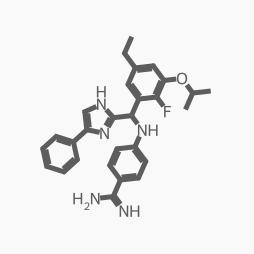 CCc1cc(OC(C)C)c(F)c(C(Nc2ccc(C(=N)N)cc2)c2nc(-c3ccccc3)c[nH]2)c1